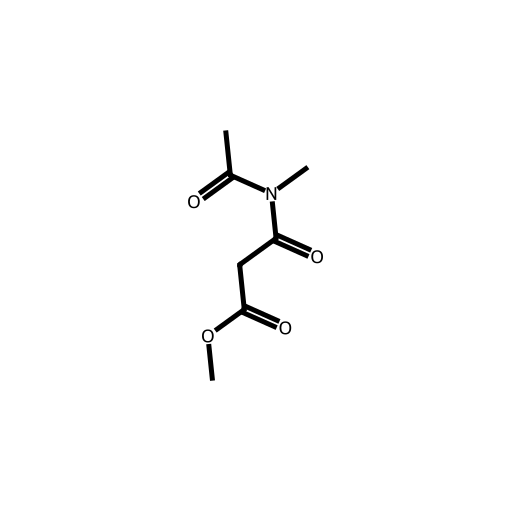 COC(=O)CC(=O)N(C)C(C)=O